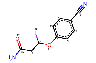 N#Cc1ccc(OC(I)CC(N)=O)cc1